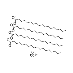 CCCCCCCCCCCCCCCCCC(=O)[O-].CCCCCCCCCCCCCCCCCC(=O)[O-].CCCCCCCCCCCCCCCCCC(=O)[O-].CCCCCCCCCCCCCCCCCC(=O)[O-].[Co+2].[S+2]